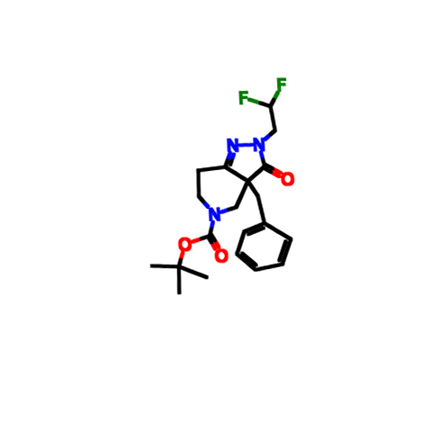 CC(C)(C)OC(=O)N1CCC2=NN(CC(F)F)C(=O)C2(Cc2ccccc2)C1